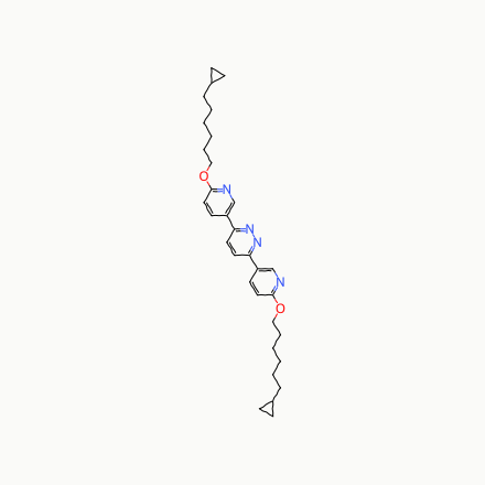 c1cc(OCCCCCCC2CC2)ncc1-c1ccc(-c2ccc(OCCCCCCC3CC3)nc2)nn1